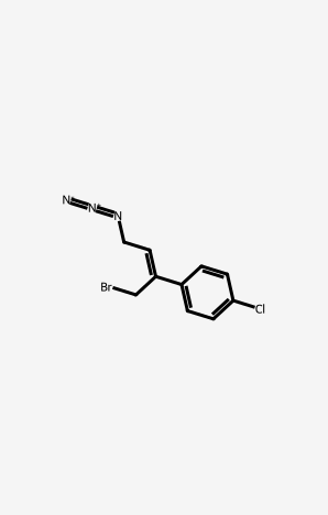 [N-]=[N+]=NC/C=C(\CBr)c1ccc(Cl)cc1